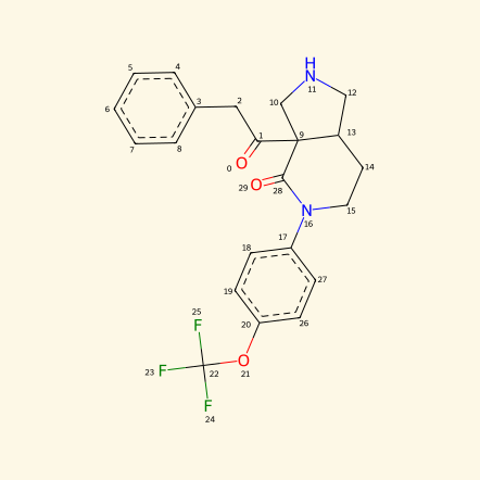 O=C(Cc1ccccc1)C12CNCC1CCN(c1ccc(OC(F)(F)F)cc1)C2=O